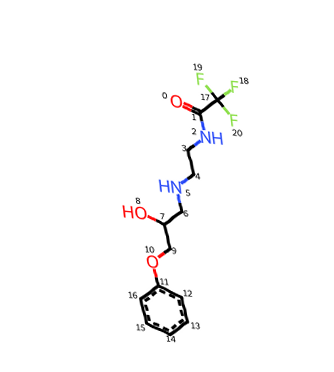 O=C(NCCNCC(O)COc1ccccc1)C(F)(F)F